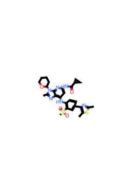 Cc1nc(-c2ccc(Nc3cc(NC(=O)C4CC4)nc4c3nc(C)n4C3CCCCO3)c(S(C)(=O)=O)c2)c(C)s1